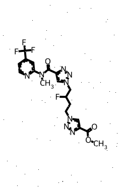 COC(=O)c1cn(CCC(F)Cn2cc(C(=O)N(C)c3cc(C(F)(F)F)ccn3)nn2)nn1